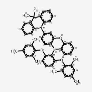 Cc1cc(C)c(Oc2cccc(Oc3c(C)cc(C)cc3C)c2B2c3ccccc3Oc3cc(N4c5ccccc5C(C)(C)c5ccccc54)ccc32)c(C)c1